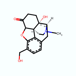 CN1CC[C@]23c4c5ccc(CO)c4OC2C(=O)CC[C@@]3(O)[C@H]1C5